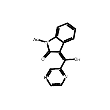 CC(=O)N1C(=O)C(=C(O)c2cnccn2)c2ccccc21